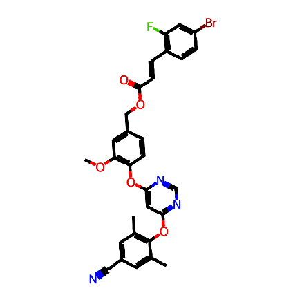 COc1cc(COC(=O)/C=C/c2ccc(Br)cc2F)ccc1Oc1cc(Oc2c(C)cc(C#N)cc2C)ncn1